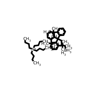 CCCC[N+](CCCC)(CCCC)CCCC.[BH3-]CCCC(c1ccccc1C(C)(C)C)(c1ccccc1C(C)(C)C)c1ccccc1C(C)(C)C